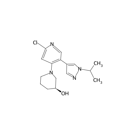 CC(C)n1cc(-c2cnc(Cl)cc2N2CCC[C@H](O)C2)cn1